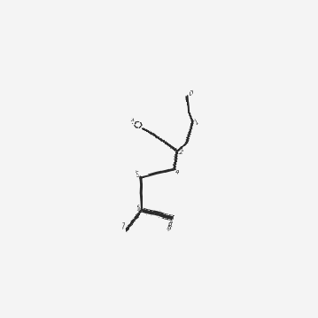 CCC([O])CCC(C)C